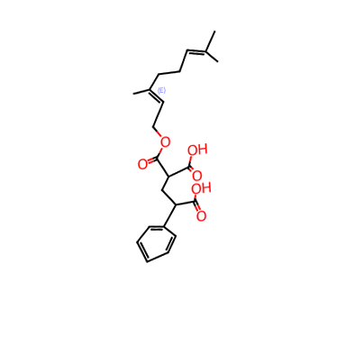 CC(C)=CCC/C(C)=C/COC(=O)C(CC(C(=O)O)c1ccccc1)C(=O)O